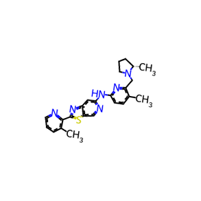 Cc1ccc(Nc2cc3nc(-c4ncccc4C)sc3cn2)nc1CN1CCC[C@@H]1C